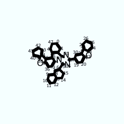 C1=CC(c2nc(C3=Cc4ccccc4CC3)nc(-c3ccc4oc5ccccc5c4c3)n2)=C(c2cccc3oc4ccccc4c23)CC1